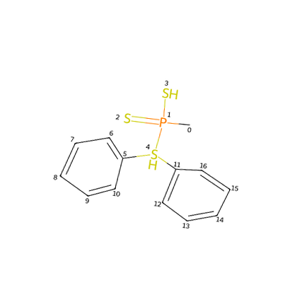 CP(=S)(S)[SH](c1ccccc1)c1ccccc1